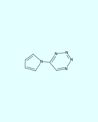 c1ccn(-c2cnnnn2)c1